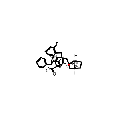 NC(=O)c1cccc([C@H]2C[C@H]3CC[C@@H](C2)N3CCN(Cc2c(F)cccc2F)C(=O)[C@@H](O)Cc2ccccc2)c1